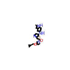 Cc1cc2cc(Nc3ccnc4cc(C(=O)N5CC[C@H](OCC6CC6)C5)sc34)ccc2[nH]1